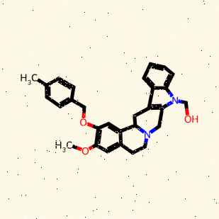 COc1cc2c(cc1OCc1ccc(C)cc1)C1Cc3c(n(CO)c4ccccc34)CN1CC2